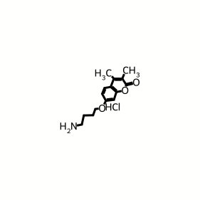 Cc1c(C)c2ccc(OCCCCN)cc2oc1=O.Cl